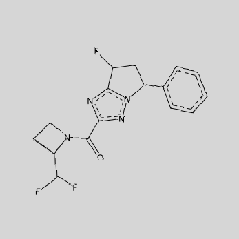 O=C(c1nc2n(n1)C(c1ccccc1)CC2F)N1CCC1C(F)F